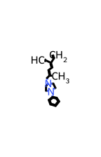 C#C/C(C=C)=C\C=C(/C)CN1CCN(c2ccccc2)CC1